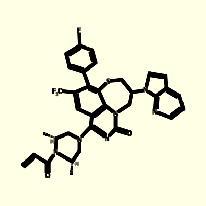 C=CC(=O)N1[C@H](C)CN(c2nc(=O)n3c4c(c(-c5ccc(F)cc5)c(C(F)(F)F)cc24)SCC(n2ccc4cccnc42)C3)C[C@@H]1C